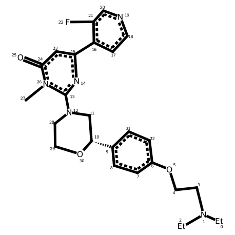 CCN(CC)CCOc1ccc([C@H]2CN(c3nc(-c4ccncc4F)cc(=O)n3C)CCO2)cc1